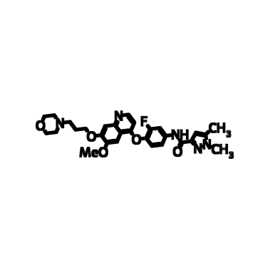 COc1cc2c(Oc3ccc(NC(=O)c4cc(C)n(C)n4)cc3F)ccnc2cc1OCCCN1CCOCC1